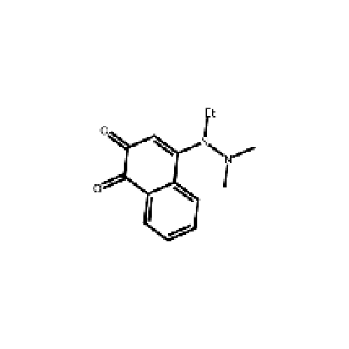 CCN(C1=CC(=O)C(=O)c2ccccc21)N(C)C